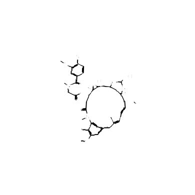 COc1cc2cc(c1Cl)N(C)C(=O)C[C@H](OC(=O)[C@H](C)N(C)C(=O)c1ccc(N)c(S(C)(=O)=O)c1)[C@]1(C)O[C@H]1[C@H](C)[C@@H]1C[C@@](O)(NC(O)O1)[C@H](OC)/C=C/C=C(\C)C2